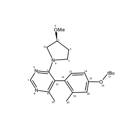 CO[C@H]1CCN(c2ncnc(C)c2-c2ccc(OC(C)(C)C)cc2C)C1